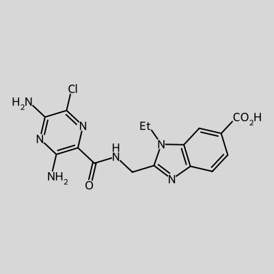 CCn1c(CNC(=O)c2nc(Cl)c(N)nc2N)nc2ccc(C(=O)O)cc21